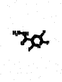 NNC(=O)c1cc(F)c(F)nc1F